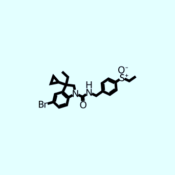 CC[S+]([O-])c1ccc(CNC(=O)N2CC(CC)(C3CC3)c3cc(Br)ccc32)cc1